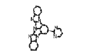 c1cnc(-c2cc3c4c(c2)n2c5ccccc5nc2n4c2nc4ccccc4n32)nc1